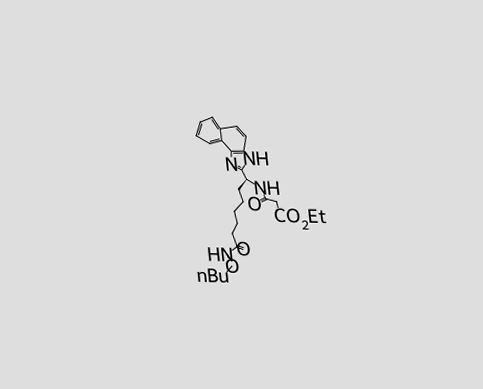 CCCCONC(=O)CCCCC[C@H](NC(=O)CC(=O)OCC)c1nc2c(ccc3ccccc32)[nH]1